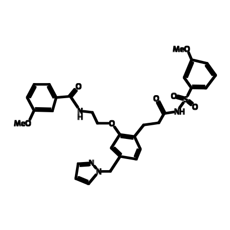 COc1cccc(C(=O)NCCOc2cc(Cn3cccn3)ccc2CCC(=O)NS(=O)(=O)c2cccc(OC)c2)c1